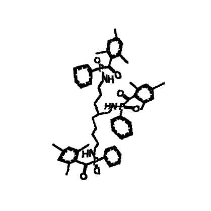 Cc1cc(C)c(C(=O)P(=O)(NCCCCC(CCCNP(=O)(C(=O)c2c(C)cc(C)cc2C)c2ccccc2)CNP(=O)(C(=O)c2c(C)cc(C)cc2C)c2ccccc2)c2ccccc2)c(C)c1